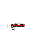 COCCOCCOCCOCCOCCOCCOCCOc1ccc(CCNC(=O)O)cc1